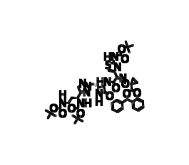 CC(C)(C)OC(=O)NCC[C@H](NC(=O)OC(C)(C)C)c1cnn(C[C@H]2NC(=O)[C@H]2NC(=O)/C(=N\OC2(C(=O)OC(c3ccccc3)c3ccccc3)CC2)c2csc(NC(=O)OC(C)(C)C)n2)n1